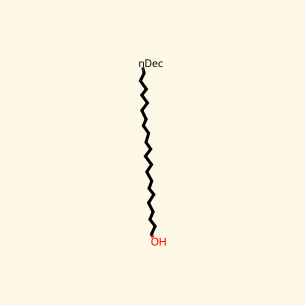 CCCCCCCCCCCCCCCCCCCCCCCCCCCCCCCCO